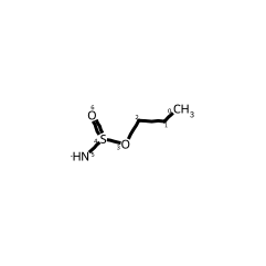 CCCOS([NH])=O